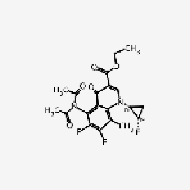 CCOC(=O)c1cn([C@@H]2C[C@@H]2F)c2c(C)c(F)c(F)c(N(C(C)=O)C(C)=O)c2c1=O